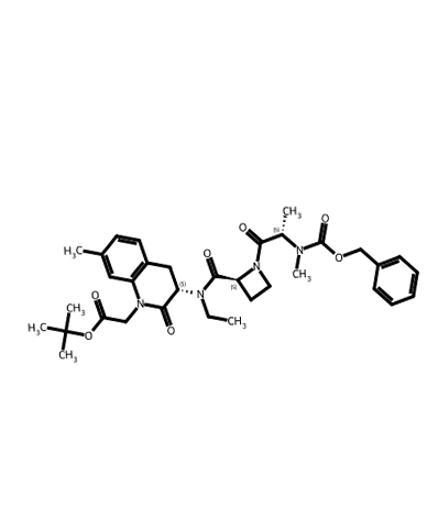 CCN(C(=O)[C@@H]1CCN1C(=O)[C@H](C)N(C)C(=O)OCc1ccccc1)[C@H]1Cc2ccc(C)cc2N(CC(=O)OC(C)(C)C)C1=O